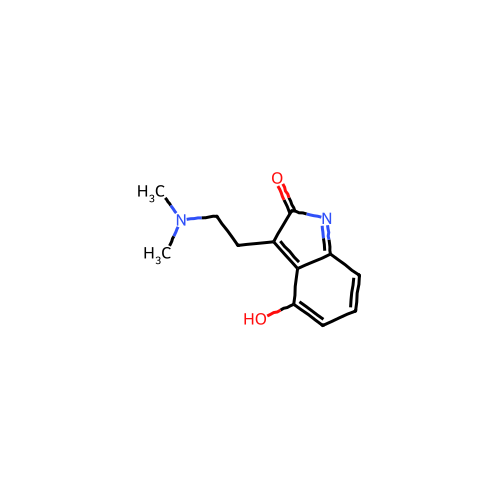 CN(C)CCC1=c2c(O)cccc2=NC1=O